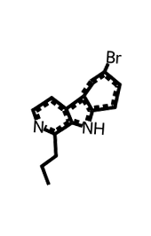 CCCc1nccc2c1[nH]c1ccc(Br)cc12